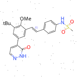 COc1c(/C=C/c2ccc(NS(C)(=O)=O)cc2)cc(-c2ccn[nH]c2=O)cc1C(C)(C)C